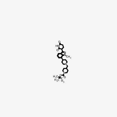 Cn1nc(C2CCC(=O)NC2=O)c2cccc(C3CCN(CC4CCN(C(=O)OC(C)(C)C)CC4)CC3)c21